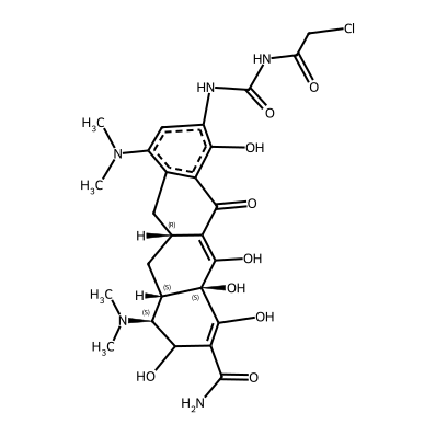 CN(C)c1cc(NC(=O)NC(=O)CCl)c(O)c2c1C[C@H]1C[C@H]3[C@H](N(C)C)C(O)C(C(N)=O)=C(O)[C@@]3(O)C(O)=C1C2=O